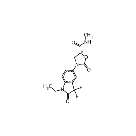 CCN1C(=O)C(F)(F)c2cc(N3C[C@H](C(=O)NC)OC3=O)ccc21